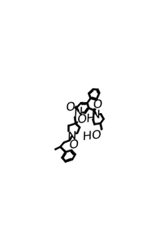 CC(CC(=O)N1CCC(O)(Cn2cc(C(=O)N3CCC(CO)CC3)c(-c3ccccc3)cc2=O)CC1)c1ccccc1